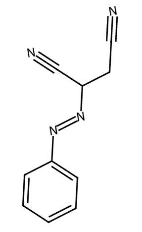 N#CCC(C#N)N=Nc1ccccc1